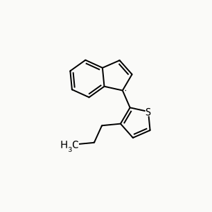 CCCc1ccsc1[C]1C=Cc2ccccc21